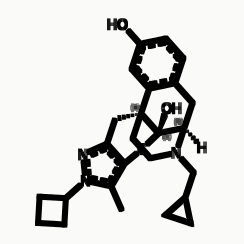 Cc1c2c(nn1C1CCC1)C[C@]13CCN(CC4CC4)[C@H](Cc4ccc(O)cc41)[C@]3(O)C2